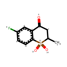 CC1CC(=O)c2cc(F)ccc2S1(=O)=O